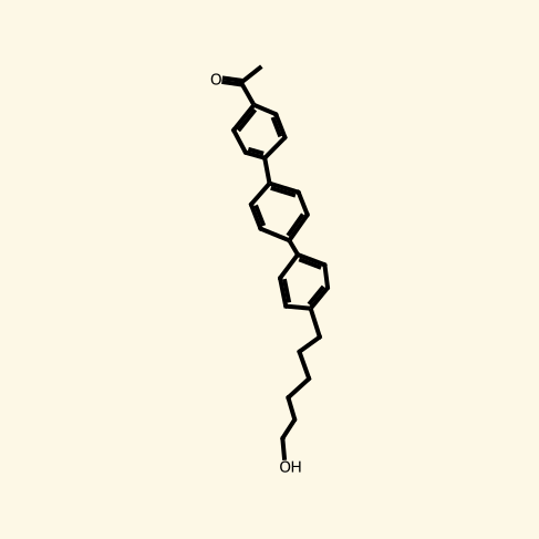 CC(=O)c1ccc(-c2ccc(-c3ccc(CCCCCCO)cc3)cc2)cc1